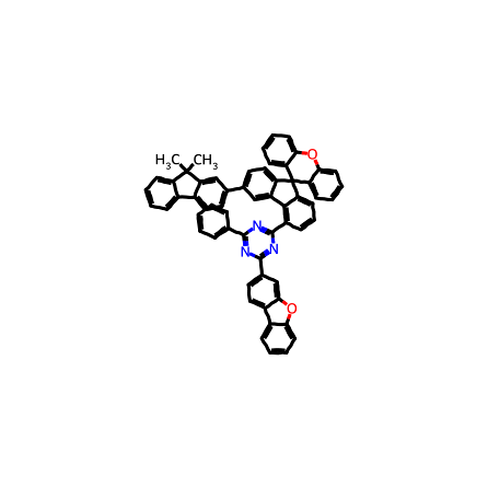 CC1(C)c2ccccc2-c2ccc(-c3ccc4c(c3)-c3c(-c5nc(-c6ccccc6)nc(-c6ccc7c(c6)oc6ccccc67)n5)cccc3C43c4ccccc4Oc4ccccc43)cc21